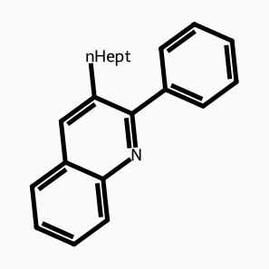 CCCCCCCc1cc2ccccc2nc1-c1ccccc1